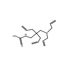 C=CCN(CC=C)CC(CC=C)(CC=C)CNC(=O)O